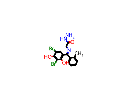 Cc1ccccc1C(=NCC(=O)NN)c1cc(Br)c(O)c(Br)c1O